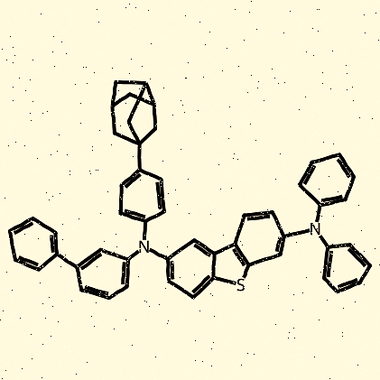 c1ccc(-c2cccc(N(c3ccc(C45CC6CC(C4)C(C6)C5)cc3)c3ccc4sc5cc(N(c6ccccc6)c6ccccc6)ccc5c4c3)c2)cc1